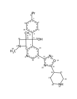 CC(C)c1ccc(C(O)(c2cncc(-c3noc(C4CCNCC4)n3)c2)C2(C)CN(C)C2)cc1